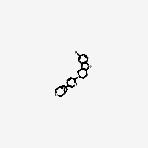 Fc1ccc2[nH]c3c(c2c1)CN(c1cnc(N2C4CCC2COC4)cn1)CC3